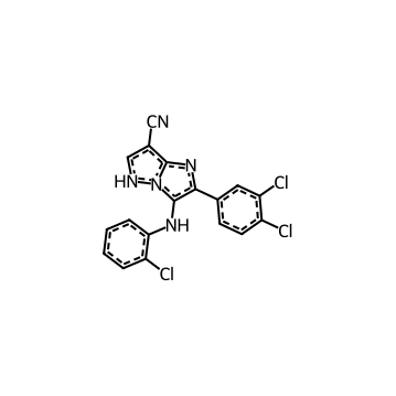 N#Cc1c[nH]n2c(Nc3ccccc3Cl)c(-c3ccc(Cl)c(Cl)c3)nc12